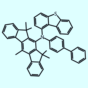 Cc1c2c(c(N(c3ccc(-c4ccccc4)cc3)c3cccc4sc5ccccc5c34)c3c1-c1ccccc1C3(C)C)C(C)(C)c1ccccc1-2